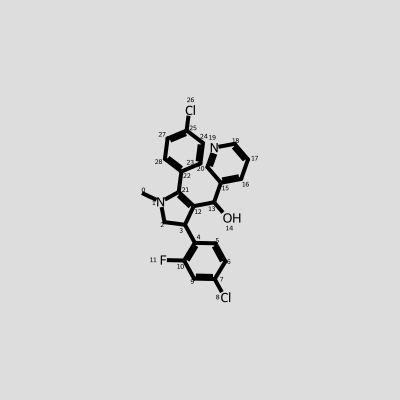 CN1CC(c2ccc(Cl)cc2F)C(C(O)c2cccnc2)=C1c1ccc(Cl)cc1